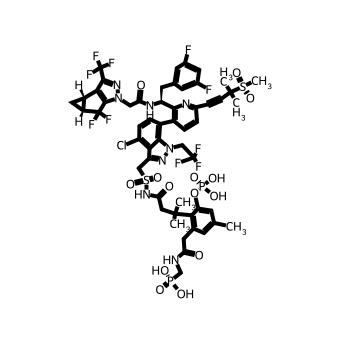 Cc1cc(CC(=O)NCP(=O)(O)O)c(C(C)(C)CC(=O)NS(=O)(=O)Cc2nn(CC(F)(F)F)c3c(-c4ccc(C#CC(C)(C)S(C)(=O)=O)nc4[C@H](Cc4cc(F)cc(F)c4)NC(=O)Cn4nc(C(F)(F)F)c5c4C(F)(F)[C@@H]4C[C@H]54)ccc(Cl)c23)c(OP(=O)(O)O)c1